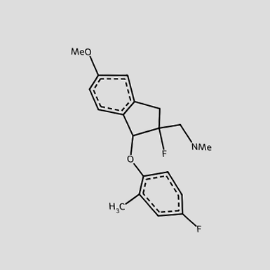 CNCC1(F)Cc2cc(OC)ccc2C1Oc1ccc(F)cc1C